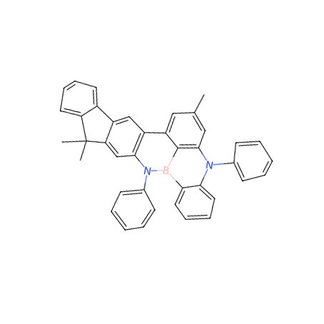 Cc1cc2c3c(c1)N(c1ccccc1)c1ccccc1B3N(c1ccccc1)c1cc3c(cc1-2)-c1ccccc1C3(C)C